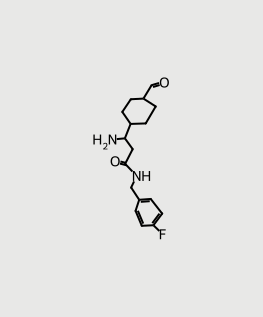 NC(CC(=O)NCc1ccc(F)cc1)C1CCC(C=O)CC1